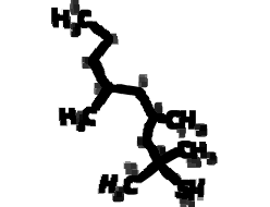 CCCC(C)CC(C)CC(C)(C)S